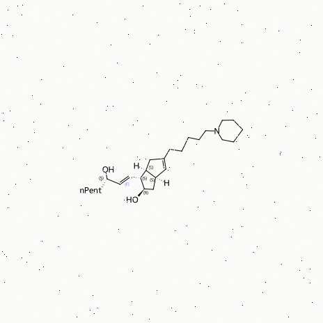 CCCCC[C@H](O)/C=C/[C@@H]1[C@H]2CC(CCCCCN3CCCCC3)=C[C@H]2C[C@H]1O